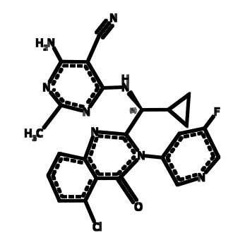 Cc1nc(N)c(C#N)c(N[C@H](c2nc3cccc(Cl)c3c(=O)n2-c2cncc(F)c2)C2CC2)n1